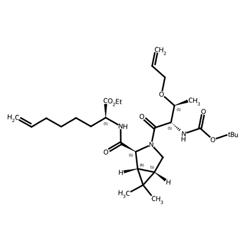 C=CCCCC[C@H](NC(=O)[C@@H]1[C@@H]2[C@H](CN1C(=O)[C@@H](NC(=O)OC(C)(C)C)[C@H](C)OCC=C)C2(C)C)C(=O)OCC